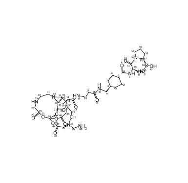 C[C@@H](NC(=O)[C@H]1CC[C@H](CNC(=O)CCNC(=O)CC[C@@H]2C(=O)OC34OC(=O)CNCCN2CCN(CCN(CN)CC(=O)O3)CC(=O)O4)CC1)C(=O)N1CCC[C@H]1B(O)O